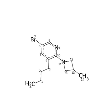 CCCCc1cc(Br)cnc1N1CC(C)C1